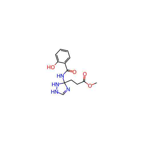 COC(=O)CCC1(NC(=O)c2ccccc2O)N=CNN1